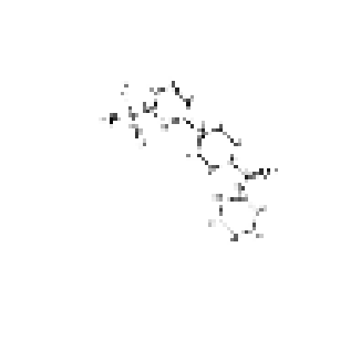 O=C(C1CCN(c2cccc(C(F)(F)F)c2)CC1)N1CCCCC1